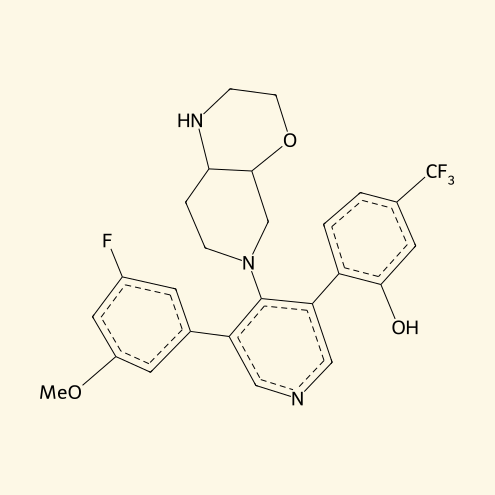 COc1cc(F)cc(-c2cncc(-c3ccc(C(F)(F)F)cc3O)c2N2CCC3NCCOC3C2)c1